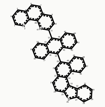 c1cnc2c(c1)ccc1ccc(-c3c4ccccc4c(-c4cc5ccc6sc7ccccc7c6c5c5ccccc45)c4ccccc34)nc12